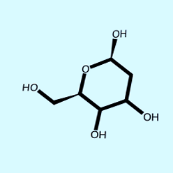 OC[C@H]1O[C@@H](O)CC(O)C1O